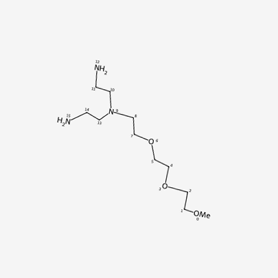 COCCOCCOCCN(CCN)CCN